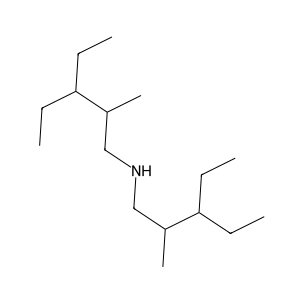 CCC(CC)C(C)CNCC(C)C(CC)CC